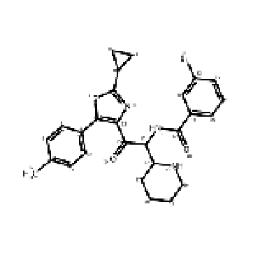 Cc1ccc(-c2sc(C3CC3)nc2C(=O)C(NC(=O)c2cccc(Br)c2)C2CCCCN2)cc1